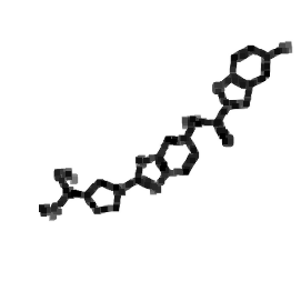 CN(C)[C@@H]1CCN(c2nc3ccc(NC(=O)c4cc5cc(Cl)ccc5o4)cc3s2)C1